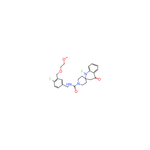 COCCOCc1cc(CNC(=O)N2CCC3(CC2)CC(=O)c2ccccc2N3F)ccc1F